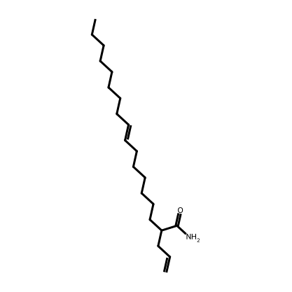 C=CCC(CCCCCC/C=C/CCCCCCCC)C(N)=O